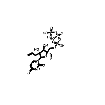 C=CC[C@]1(O)C(n2ccc(=O)[nH]c2=O)O[C@](CF)(COP(=O)(O)OP(=O)(O)OP(=O)(O)O)C1O